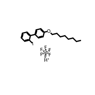 CCCCCCCCOc1ccc(-c2ccccc2I)cc1.[F][Sb-]([F])([F])([F])([F])[F].[H+]